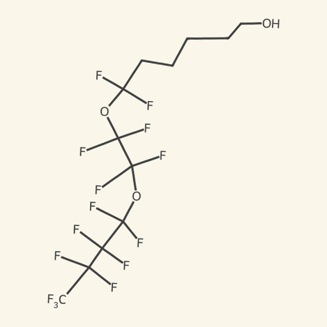 OCCCCCC(F)(F)OC(F)(F)C(F)(F)OC(F)(F)C(F)(F)C(F)(F)C(F)(F)F